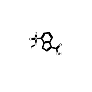 O=C(O)C1=CCc2c1cccc2S(=O)(=O)OI